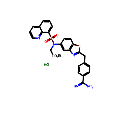 CCOC(=O)CN(c1ccc2sc(Cc3ccc(C(=N)N)cc3)nc2c1)S(=O)(=O)c1cccc2cccnc12.Cl